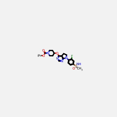 CC(C)OC(=O)N1CCC(Oc2ncnc3c2CCN3c2ccc(S(C)(=N)=O)cc2F)CC1